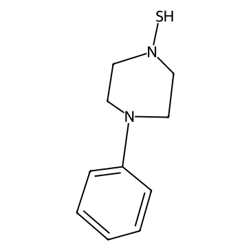 SN1CCN(c2ccccc2)CC1